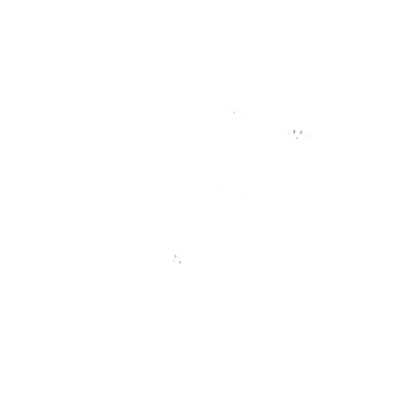 COc1cc2c(cc1O)C1c3ccccc3CCN(C)C1CC2